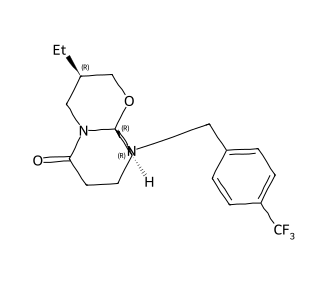 CC[C@H]1CO[C@]23CCN(Cc4ccc(C(F)(F)F)cc4)C[C@H]2CCC(=O)N3C1